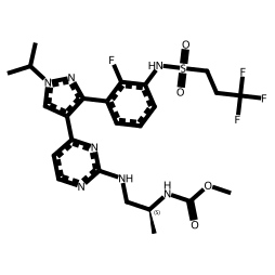 COC(=O)N[C@@H](C)CNc1nccc(-c2cn(C(C)C)nc2-c2cccc(NS(=O)(=O)CCC(F)(F)F)c2F)n1